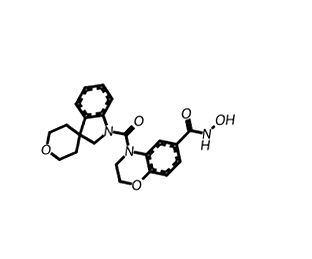 O=C(NO)c1ccc2c(c1)N(C(=O)N1CC3(CCOCC3)c3ccccc31)CCO2